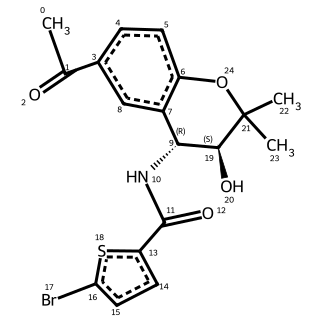 CC(=O)c1ccc2c(c1)[C@@H](NC(=O)c1ccc(Br)s1)[C@H](O)C(C)(C)O2